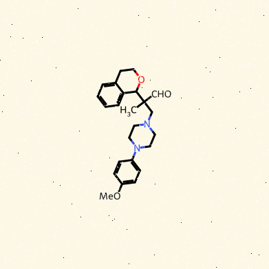 COc1ccc(N2CCN(CC(C)(C=O)C3OCCc4ccccc43)CC2)cc1